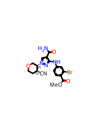 COC(=O)c1ccc(Nc2nn([C@H]3COCC[C@@H]3C#N)cc2C(N)=O)cc1Br